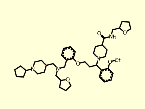 CCOc1ccccc1C(CCOc1ccccc1CN(CC1CCN(C2CCCC2)CC1)CC1CCCO1)N1CCC(C(=O)NCC2CCCO2)CC1